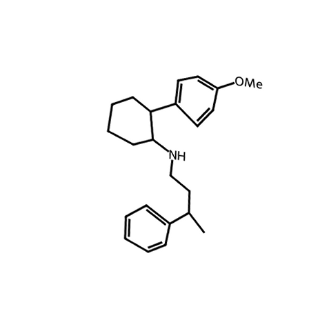 COc1ccc(C2CCCCC2NCCC(C)c2ccccc2)cc1